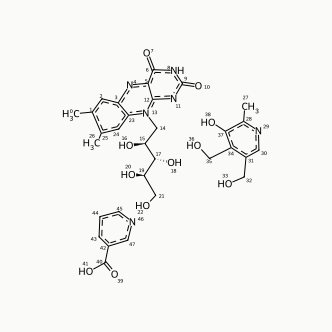 Cc1cc2nc3c(=O)[nH]c(=O)nc-3n(C[C@H](O)[C@H](O)[C@H](O)CO)c2cc1C.Cc1ncc(CO)c(CO)c1O.O=C(O)c1cccnc1